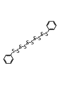 c1ccc(SSSSSSSSSSc2ccccc2)cc1